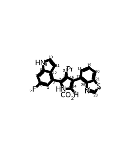 CC(C)c1c(-c2cc(F)cc3[nH]ccc23)[nH]c(C(=O)O)c1-c1cccc2scnc12